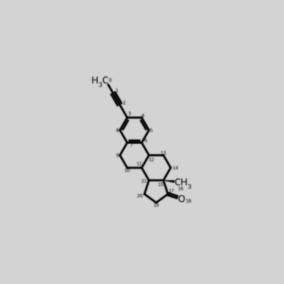 CC#Cc1ccc2c(c1)CCC1C2CC[C@]2(C)C(=O)CCC12